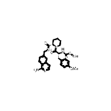 COc1ccc(C[C@@H](NC(=O)OC(C)(C)C)C(=O)N2CCCC[C@H]2C(=O)NCc2ccc3c(N)nccc3c2)cc1